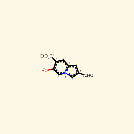 CCOC(=O)c1cc2cc(C=O)cn2cc1O